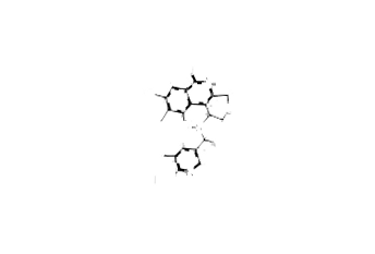 Cc1c(F)cc2c(=O)[nH]c3c(c2c1C)C(N(C)C(O)c1cnc(C(F)(F)F)c(F)c1)COC3